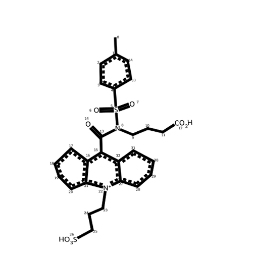 Cc1ccc(S(=O)(=O)N(CCCC(=O)O)C(=O)c2c3ccccc3[n+](CCCS(=O)(=O)O)c3ccccc23)cc1